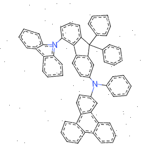 c1ccc(N(c2ccc3c(c2)C(c2ccccc2)(c2ccccc2)c2cccc(-n4c5ccccc5c5ccccc54)c2-3)c2ccc3c4ccccc4c4ccccc4c3c2)cc1